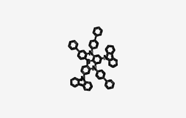 c1ccc(-c2ccc(N3c4cc(-c5ccccc5)ccc4B4c5ccc(-n6c7ccccc7c7ccccc76)cc5N(c5ccc(-c6ccccc6)cc5)c5cc(-n6c7ccccc7c7ccccc76)cc3c54)cc2)cc1